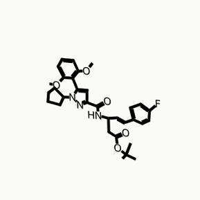 COc1cccc(OC)c1-c1cc(C(=O)NC(C=Cc2ccc(F)cc2)CC(=O)OC(C)(C)C)nn1C1CCCC1